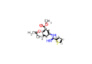 COC(=O)c1cc(NC(=N)c2cccs2)ccc1OC(C)C